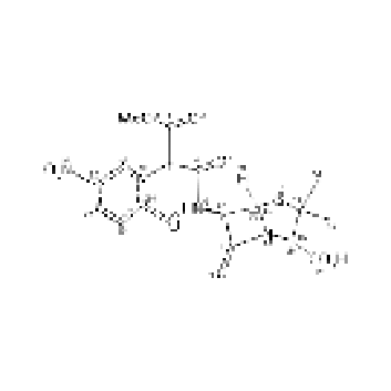 COC(=O)C(C(=O)N[C@@H]1C(=O)N2[C@@H]1SC(C)(C)[C@@H]2C(=O)O)n1cc([N+](=O)[O-])ccc1=O